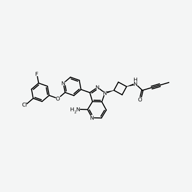 CC#CC(=O)N[C@H]1C[C@@H](n2nc(-c3ccnc(Oc4cc(F)cc(Cl)c4)c3)c3c(N)nccc32)C1